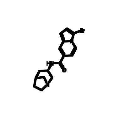 O=C(N[C@@H]1CC2CCN(C2)C1)c1ccn2c(Br)ccc2c1